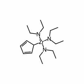 CC[N](CC)[Zr]([CH]1C=CC=C1)([N](CC)CC)[N](CC)CC